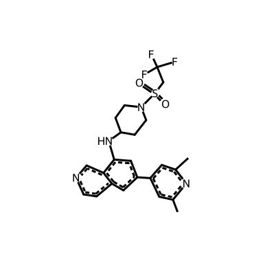 Cc1cc(-c2cc(NC3CCN(S(=O)(=O)CC(F)(F)F)CC3)c3cnccc3c2)cc(C)n1